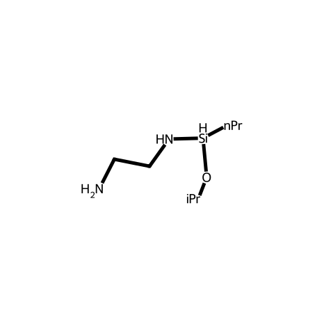 CCC[SiH](NCCN)OC(C)C